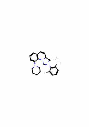 CC(C)c1cccc(C(C)C)c1N1CN2c3c(cccc3N3CCCCC3)C=CC2[C]1=[Au][Cl]